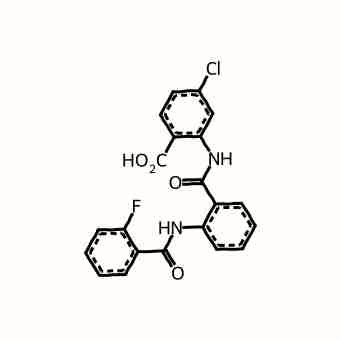 O=C(Nc1ccccc1C(=O)Nc1cc(Cl)ccc1C(=O)O)c1ccccc1F